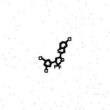 O=C(C=C(c1cc(Cl)cc(Cl)c1)C(F)(F)F)c1cc2cc(Cl)ccc2s1